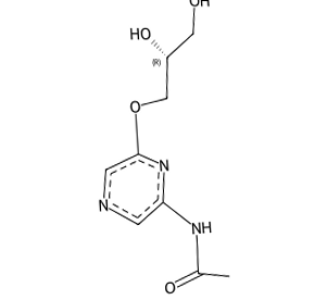 CC(=O)Nc1cncc(OC[C@H](O)CO)n1